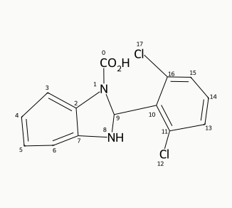 O=C(O)N1c2ccccc2NC1c1c(Cl)cccc1Cl